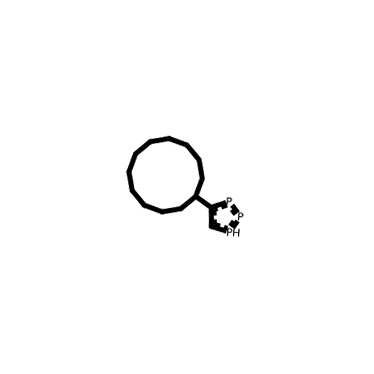 c1[pH]ppc1C1CCCCCCCCCCC1